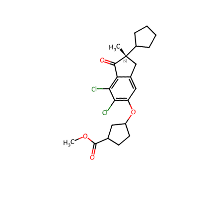 COC(=O)C1CCC(Oc2cc3c(c(Cl)c2Cl)C(=O)[C@](C)(C2CCCC2)C3)C1